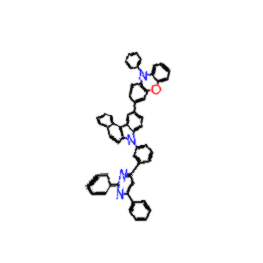 C1=CCC(c2nc(-c3ccccc3)cc(-c3cccc(-n4c5ccc(-c6ccc7c(c6)Oc6ccccc6N7c6ccccc6)cc5c5c6ccccc6ccc54)c3)n2)C=C1